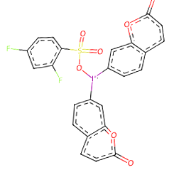 O=c1ccc2ccc([I+](OS(=O)(=O)c3ccc(F)cc3F)c3ccc4ccc(=O)oc4c3)cc2o1